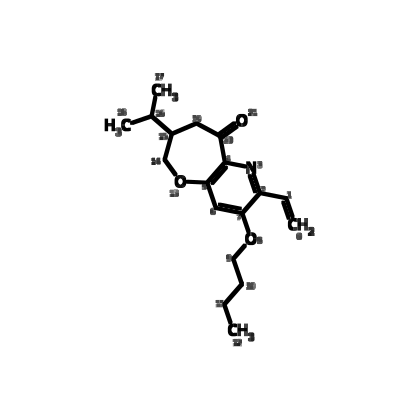 C=Cc1nc2c(cc1OCCCC)OCC(C(C)C)CC2=O